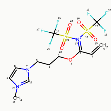 C=CC(OCCCn1cc[n+](C)c1)=[N+](S(=O)(=O)C(F)(F)F)S(=O)(=O)C(F)(F)F